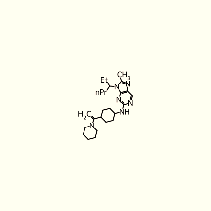 C=C(C1CCC(Nc2ncc3nc(C)n(C(CC)CCC)c3n2)CC1)N1CCCCC1